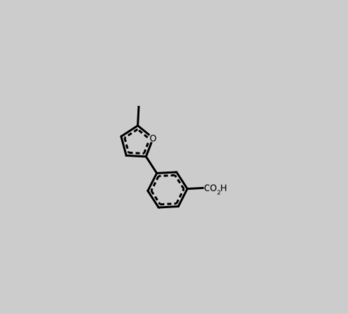 Cc1ccc(-c2cccc(C(=O)O)c2)o1